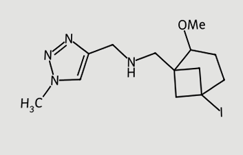 COC1CCC2(I)CC1(CNCc1cn(C)nn1)C2